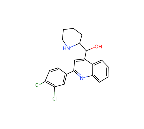 OC(c1cc(-c2ccc(Cl)c(Cl)c2)nc2ccccc12)C1CCCCN1